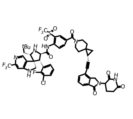 CC(C)(C)C[C@@H]1N[C@@H](C(=O)Nc2ccc(C(=O)N3CCC4(CC3)C[C@@H]4C#Cc3cccc4c3CN(C3CCC(=O)NC3=O)C4=O)cc2S(=O)(=O)C(F)(F)F)[C@H](c2cccc(Cl)c2F)[C@]12CNc1cc(C(F)(F)F)ncc12